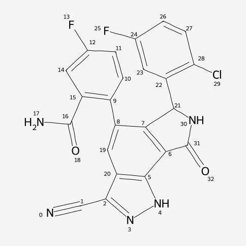 N#Cc1n[nH]c2c3c(c(-c4ccc(F)cc4C(N)=O)cc12)C(c1cc(F)ccc1Cl)NC3=O